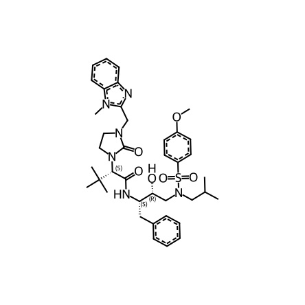 COc1ccc(S(=O)(=O)N(CC(C)C)C[C@@H](O)[C@H](Cc2ccccc2)NC(=O)[C@@H](N2CCN(Cc3nc4ccccc4n3C)C2=O)C(C)(C)C)cc1